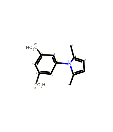 Cc1ccc(C)n1-c1cc(C(=O)O)cc(C(=O)O)c1